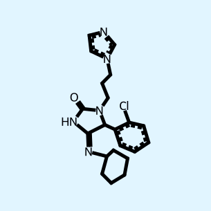 O=C1N/C(=N/C2CCCCC2)C(c2ccccc2Cl)N1CCCn1ccnc1